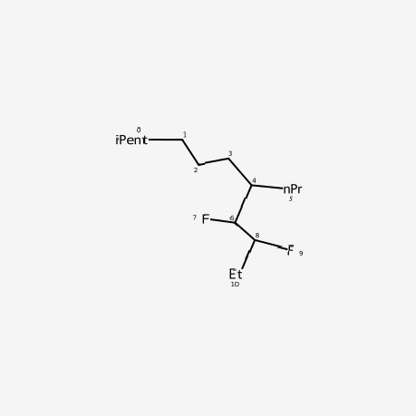 CCCC(C)CCCC(CCC)C(F)C(F)CC